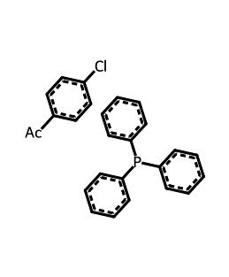 CC(=O)c1ccc(Cl)cc1.c1ccc(P(c2ccccc2)c2ccccc2)cc1